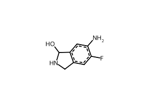 Nc1cc2c(cc1F)CNC2O